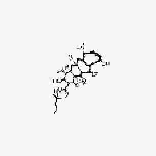 CCCC(C)(C)NC(=O)C1C(=O)[C@@]2(O)C(O)=C3C(=O)c4c(O)ccc(N(C)C)c4C[C@H]3C[C@H]2[C@H](N(C)C)C1O